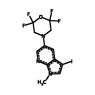 Cn1cc(I)c2cc(N3CC(F)(F)OC(F)(F)C3)cnc21